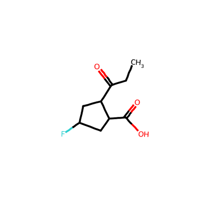 CCC(=O)C1CC(F)CC1C(=O)O